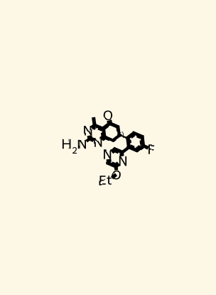 CCOc1cncc(-c2cc(F)ccc2[C@@H]2CC(=O)c3c(C)nc(N)nc3C2)n1